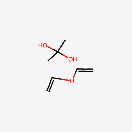 C=COC=C.CC(C)(O)O